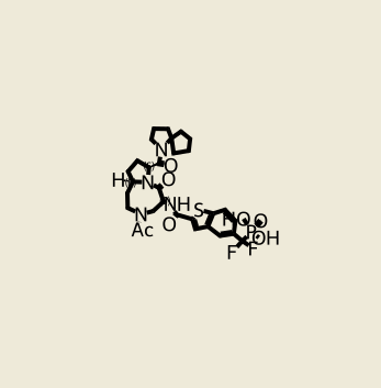 CC(=O)N1CC[C@H]2CC[C@@H](C(=O)N3CCCC34CCCC4)N2C(=O)[C@@H](NC(=O)c2cc3cc(C(F)(F)P(=O)(O)O)ccc3s2)C1